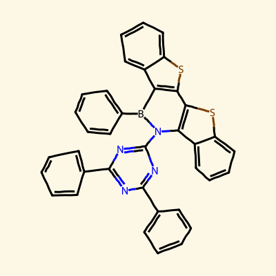 c1ccc(B2c3c(sc4ccccc34)-c3sc4ccccc4c3N2c2nc(-c3ccccc3)nc(-c3ccccc3)n2)cc1